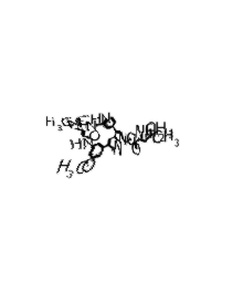 COc1cc(NC(=O)C=CCN(C)C)cc(-c2cnc3c(c2)c(-c2ccnc(C#N)c2)cn3COC(=O)C(N)CC(C)C)c1